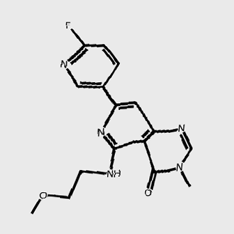 COCCNc1nc(-c2ccc(F)nc2)cc2ncn(C)c(=O)c12